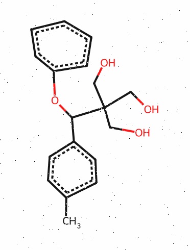 Cc1ccc(C(Oc2ccccc2)C(CO)(CO)CO)cc1